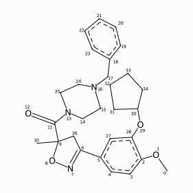 COc1ccc(C2=NOC(C)(C(=O)N3CCN(Cc4ccccc4)CC3)C2)cc1OC1CCCC1